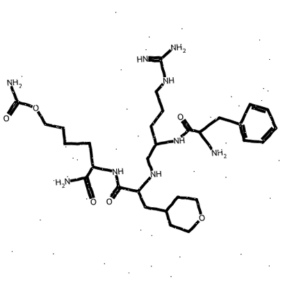 N=C(N)NCCCC(CNC(CC1CCOCC1)C(=O)NC(CCCCOC(N)=O)C(N)=O)NC(=O)C(N)Cc1ccccc1